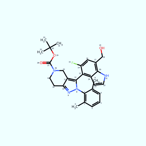 Cc1cccc(C)c1-n1nc2c(c1-c1c(F)cc(CO)c3[nH]ccc13)CN(C(=O)OC(C)(C)C)CC2